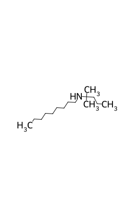 CCCCCCCCCNC(C)(C)CCC